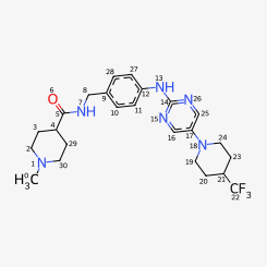 CN1CCC(C(=O)NCc2ccc(Nc3ncc(N4CCC(C(F)(F)F)CC4)cn3)cc2)CC1